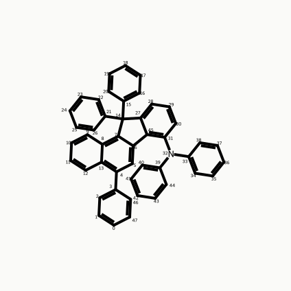 c1ccc(-c2cc3c(c4ccccc24)C(c2ccccc2)(c2ccccc2)c2cccc(N(c4ccccc4)c4ccccc4)c2-3)cc1